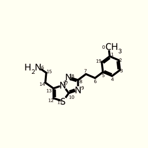 Cc1cccc(CCc2nc3scc(CCN)n3n2)c1